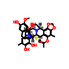 COc1cc2c(cc1O)CCN[C@]21CS[C@@H]2c3c(OC(C)=O)c(C)c4c(c3[C@H](COC1=O)N1C2[C@@H]2c3c(cc(C)c(O)c3O)C[C@H]([C@@H]1O)N2C)OCO4